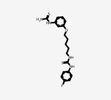 NC(=S)Nc1cccc(OCCCCCNC(=S)Nc2ccc(F)cc2)c1